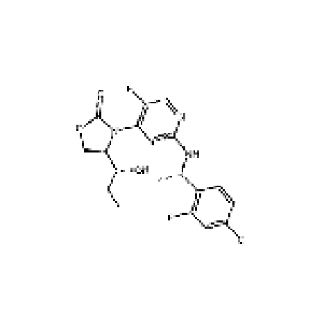 CC[C@@H](O)[C@H]1COC(=O)N1c1nc(N[C@@H](C)c2ccc(Cl)cc2F)ncc1F